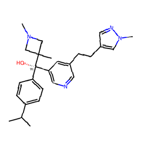 CC(C)c1ccc([C@](O)(c2cncc(CCc3cnn(C)c3)c2)C2(C)CN(C)C2)cc1